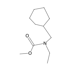 CCN(CC1CCCCC1)C(=O)OC